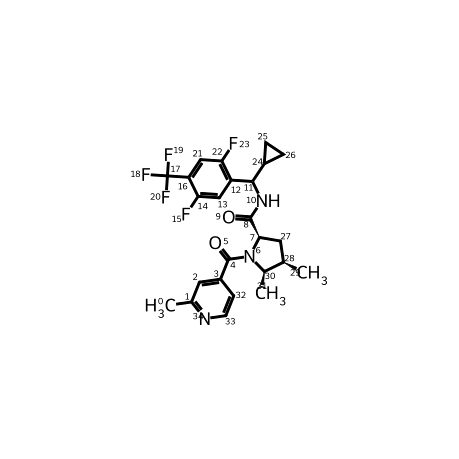 Cc1cc(C(=O)N2[C@@H](C(=O)NC(c3cc(F)c(C(F)(F)F)cc3F)C3CC3)C[C@@H](C)[C@H]2C)ccn1